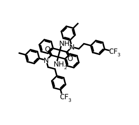 Cc1ccc(N(CCc2ccc(C(F)(F)F)cc2)C(=O)C(N)(c2ccccc2)C(N)(C(=O)N(CCc2ccc(C(F)(F)F)cc2)c2cccc(C)c2)c2ccccc2)cc1